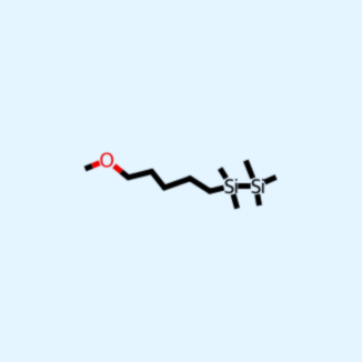 COCCCCC[Si](C)(C)[Si](C)(C)C